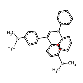 CN(C)c1ccc(C(=CN(c2ccccc2)c2ccccc2)c2ccc(N(C)C)cc2)cc1